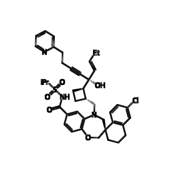 CC/C=C/[C@](O)(C#CCCc1ccccn1)[C@@H]1CC[C@H]1CN1C[C@@]2(CCCc3cc(Cl)ccc32)COc2ccc(C(=O)NS(=O)(=O)C(C)C)cc21